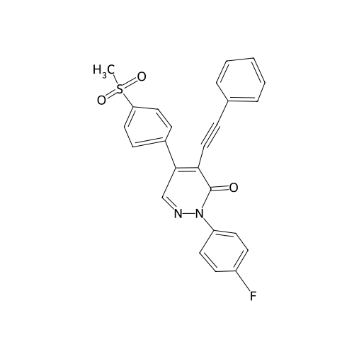 CS(=O)(=O)c1ccc(-c2cnn(-c3ccc(F)cc3)c(=O)c2C#Cc2ccccc2)cc1